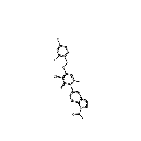 CC(=O)n1ccc2cc(-n3c(C)cc(OCc4ccc(F)cc4F)c(Cl)c3=O)ccc21